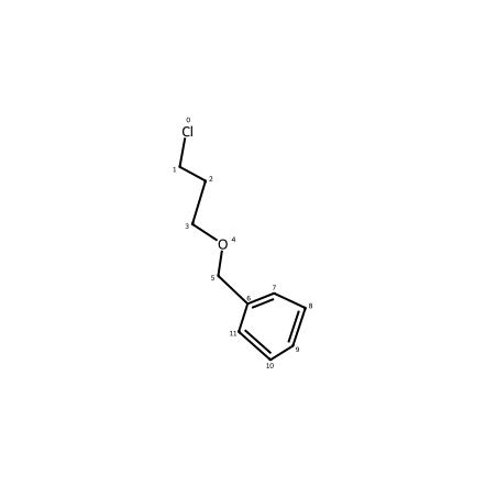 ClCCCOCc1ccccc1